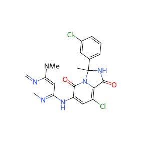 C=N/C(=C\C(=N/C)Nc1cc(Cl)c2n(c1=O)C(C)(c1cccc(Cl)c1)NC2=O)NC